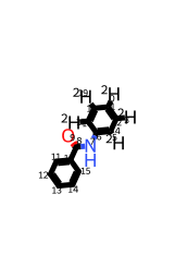 [2H]c1c([2H])c([2H])c(NC(=O)c2ccccc2)c([2H])c1[2H]